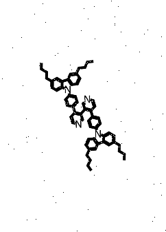 CCCCc1ccc2c(c1)c1cc(CCCC)ccc1n2-c1ccc(-c2ccncc2-c2cnccc2-c2ccc(-n3c4ccc(CCCC)cc4c4cc(CCCC)ccc43)cc2)cc1